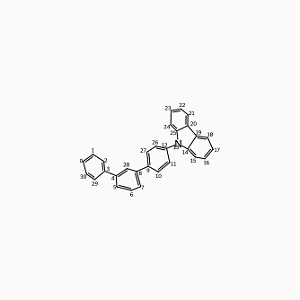 c1ccc(-c2cccc(-c3ccc(-n4c5ccccc5c5ccccc54)cc3)c2)cc1